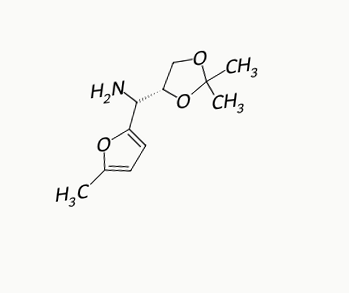 Cc1ccc(C(N)[C@@H]2COC(C)(C)O2)o1